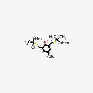 CCCCCCC(C)(C)SCc1cc(C(C)(C)C)cc(CSC(C)(C)CCCCCC)c1O